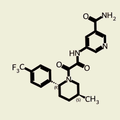 C[C@H]1CC[C@H](c2ccc(C(F)(F)F)cc2)N(C(=O)C(=O)Nc2cncc(C(N)=O)c2)C1